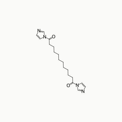 O=C(CCCCCCCCCCC(=O)n1ccnc1)n1ccnc1